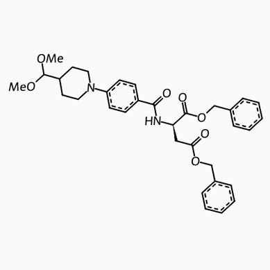 COC(OC)C1CCN(c2ccc(C(=O)N[C@H](CC(=O)OCc3ccccc3)C(=O)OCc3ccccc3)cc2)CC1